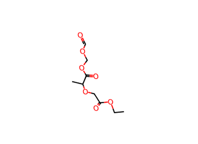 CCOC(=O)COC(C)C(=O)OCOC=O